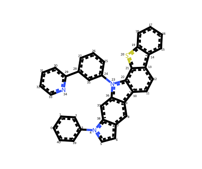 c1ccc(-n2ccc3cc4c5ccc6c7ccccc7sc6c5n(-c5cccc(-c6ccccn6)c5)c4cc32)cc1